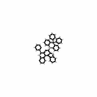 c1ccc(-c2nc3ccccc3c3c2cc(N2c4ccccc4C(c4ccccc4)(c4ccccc4)c4ccccc42)c2oc4ccccc4c23)cc1